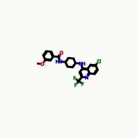 COc1cccc(C(=O)NC2CCC(Nc3cc(C(F)(F)F)nc4ccc(Cl)cc34)CC2)c1